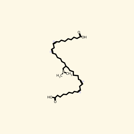 CN(C)CC(CCCCC/C=C\C/C=C\CCCCCCCC(=O)O)CCCCCC/C=C\C/C=C\CCCCCCCC(=O)O